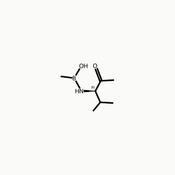 CB(O)N[C@@H](C(C)=O)C(C)C